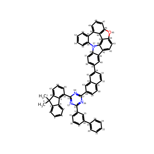 CC1(C)c2ccccc2-c2c(-c3nc(-c4cccc(-c5ccccc5)c4)nc(-c4ccc5ccc(-c6ccc7c(c6)c6ccc8oc9cccc%10c%11ccccc%11n7c6c8c9%10)cc5c4)n3)cccc21